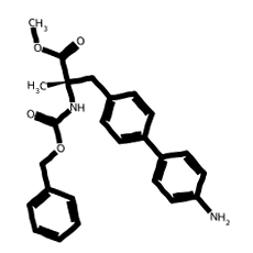 COC(=O)[C@](C)(Cc1ccc(-c2ccc(N)cc2)cc1)NC(=O)OCc1ccccc1